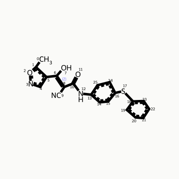 Cc1oncc1/C(O)=C(\C#N)C(=O)Nc1ccc(Sc2ccccc2)cc1